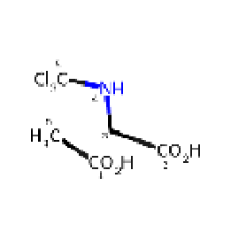 CC(=O)O.O=C(O)CNC(Cl)(Cl)Cl